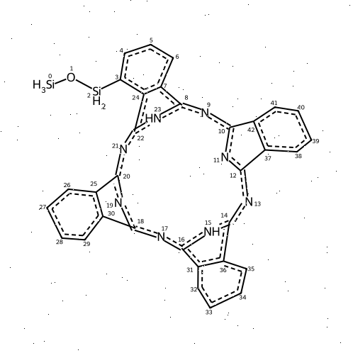 [SiH3]O[SiH2]c1cccc2c3nc4nc(nc5[nH]c(nc6nc(nc([nH]3)c12)-c1ccccc1-6)c1ccccc51)-c1ccccc1-4